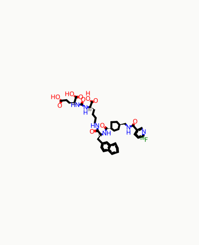 O=C(O)CC[C@H](NC(=O)N[C@@H](CCCCNC(=O)[C@H](Cc1ccc2ccccc2c1)NC(=O)[C@H]1CC[C@H](CNC(=O)c2ccc([18F])nc2)CC1)C(=O)O)C(=O)O